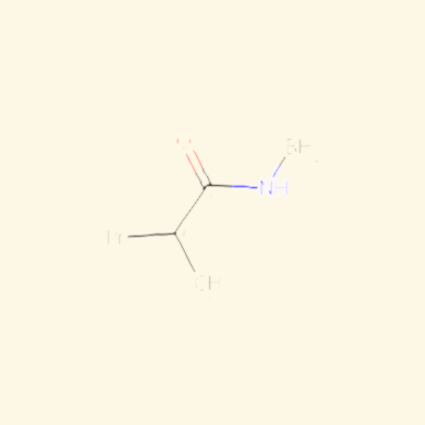 BNC(=O)C(C)C(C)C